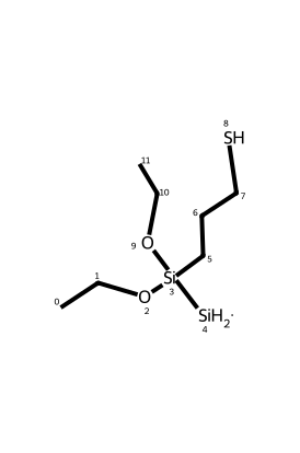 CCO[Si]([SiH2])(CCCS)OCC